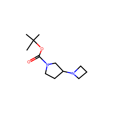 CC(C)(C)OC(=O)N1CCC(N2CCC2)C1